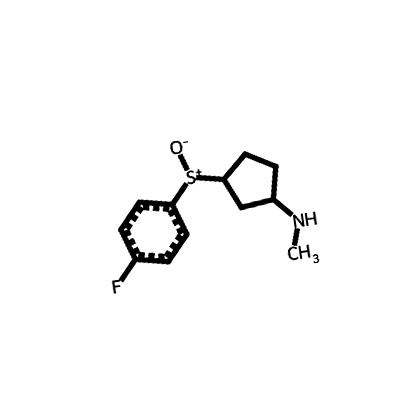 CNC1CCC([S+]([O-])c2ccc(F)cc2)C1